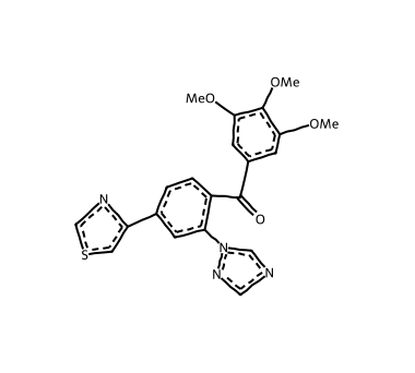 COc1cc(C(=O)c2ccc(-c3cscn3)cc2-n2cncn2)cc(OC)c1OC